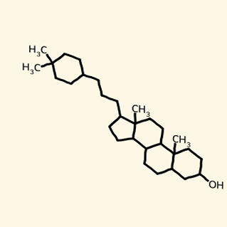 CC1(C)CCC(CCCC2CCC3C4CCC5CC(O)CCC5(C)C4CCC23C)CC1